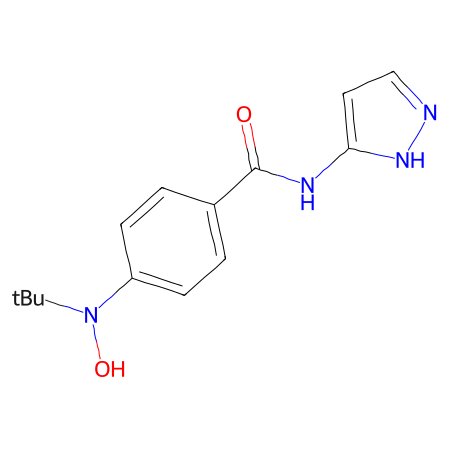 CC(C)(C)N(O)c1ccc(C(=O)Nc2ccn[nH]2)cc1